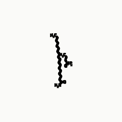 CCCCCCCCCCCCCCCCCC(N)=O.CCC[NH2+][O-]